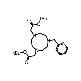 CC(C)(C)OC(=O)CN1CCN(CC(=O)OC(C)(C)C)CCN(Cc2ccccn2)CC1